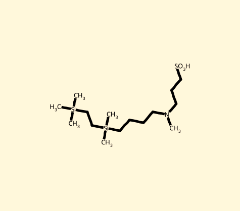 CN(CCCC[Si](C)(C)CC[Si](C)(C)C)CCCS(=O)(=O)O